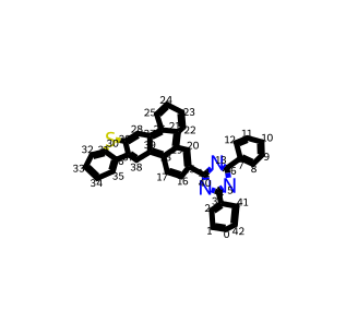 c1ccc(-c2nc(-c3ccccc3)nc(-c3ccc4c(c3)c3ccccc3c3cc5sc6ccccc6c5cc43)n2)cc1